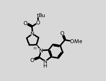 COC(=O)c1ccc2[nH]c(=O)n([C@H]3CCN(C(=O)OC(C)(C)C)C3)c2c1